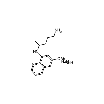 COc1cc(NC(C)CCCN)c2ncccc2c1.[NaH].[NaH]